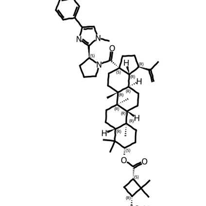 C=C(C)[C@@H]1CC[C@]2(C(=O)N3CCC[C@H]3c3nc(-c4ccccc4)cn3C)CC[C@]3(C)[C@H](CC[C@@H]4[C@@]5(C)CC[C@H](OC(=O)[C@H]6C[C@@H](C(=O)O)C6(C)C)C(C)(C)[C@@H]5CC[C@]43C)[C@@H]12